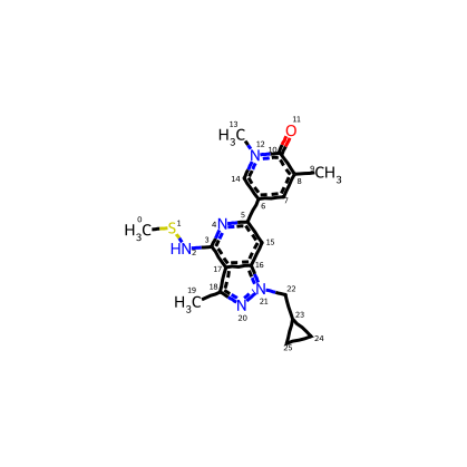 CSNc1nc(-c2cc(C)c(=O)n(C)c2)cc2c1c(C)nn2CC1CC1